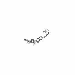 C=CCOc1ccc(-c2ccc3cc(/C=C/CCCC(C)O)ccc3c2)c(F)c1